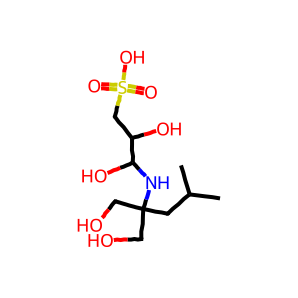 CC(C)CC(CO)(CO)NC(O)C(O)CS(=O)(=O)O